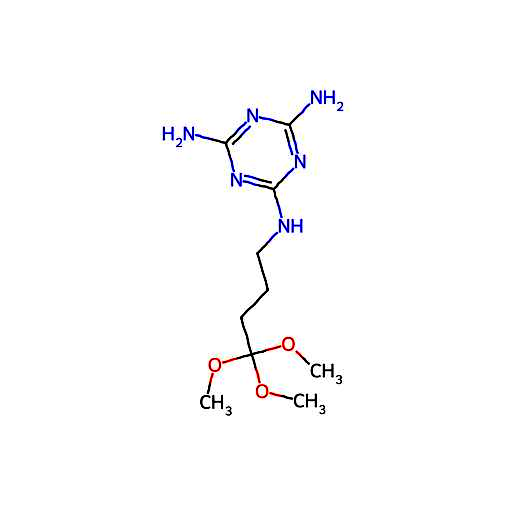 COC(CCCNc1nc(N)nc(N)n1)(OC)OC